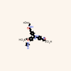 CCCCCCCCCCCCNC(=O)C=Cc1ccc(-c2[nH]c(-c3ccc(C4=NOC(C(=O)O)C4)cc3)nc2-c2ccc(OCC(=O)O)cc2)cc1.c1c[nH]cn1